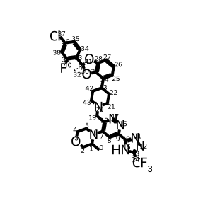 CC1COCCN1c1cc(-c2nnc(C(F)(F)F)[nH]2)nnc1CN1CCC(c2cccc3c2O[C@@](C)(c2ccc(Cl)cc2F)O3)CC1